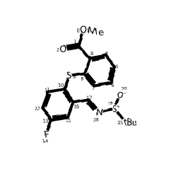 COC(=O)c1ccccc1Sc1ccc(F)cc1C=N[S+]([O-])C(C)(C)C